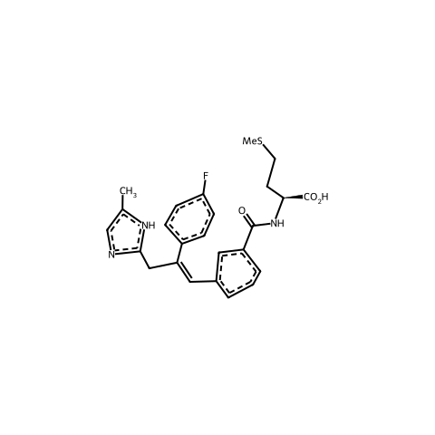 CSCC[C@H](NC(=O)c1cccc(C=C(Cc2ncc(C)[nH]2)c2ccc(F)cc2)c1)C(=O)O